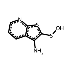 Nc1c(SO)sc2ncccc12